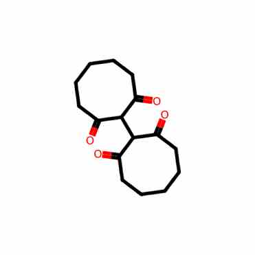 O=C1CCCCCC(=O)C1C1C(=O)CCCCCC1=O